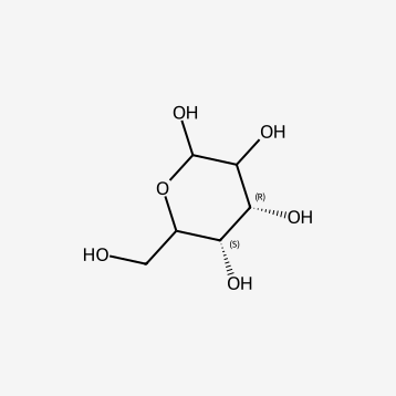 OCC1OC(O)C(O)[C@H](O)[C@@H]1O